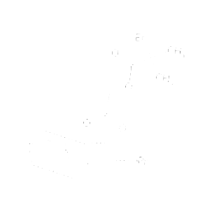 CCC(C)(C)C(=O)OCC(=O)OC1(CCC(C)C)C2CC3CC(C2)CC1C3